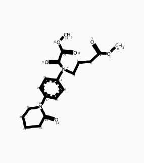 COC(=O)CCCN(C(=O)C(=O)OC)c1ccc(N2CCCCC2=O)cc1